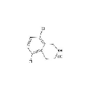 Cl.Clc1ccc(Cl)c2c1CCNC2